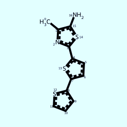 Cc1nc(-c2ccc(-c3cccs3)s2)sc1N